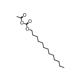 CCCCCCCCCCCCCOC(=O)OC(C)=O